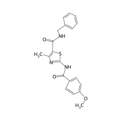 COc1ccc(C(=O)Nc2nc(C)c(C(=O)NCc3ccccc3)s2)cc1